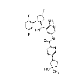 CC1(O)CCN(c2cnc(C(=O)Nc3cnc(N)c(C(=N)N4C[C@@H](F)C[C@@H]4c4cc(F)ccc4F)c3)cn2)C1